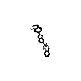 c1ccc2nc(-c3ccc4c(c3)CC(c3ccc5ccoc5c3)C4)ncc2c1